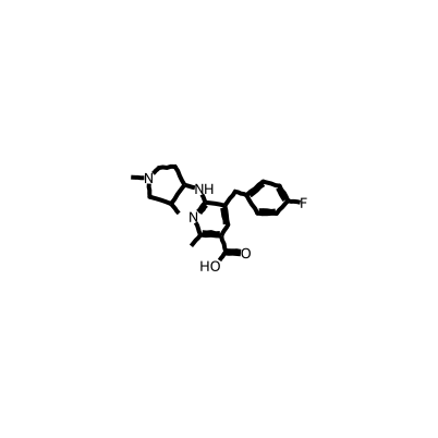 Cc1nc(NC2CCN(C)CC2C)c(Cc2ccc(F)cc2)cc1C(=O)O